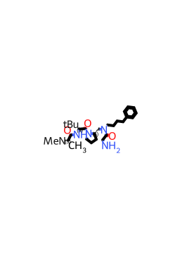 CN[C@@H](C)C(=O)N[C@H](C(=O)N1CCC[C@H]1CN(CCCCc1ccccc1)C(=O)CN)C(C)(C)C